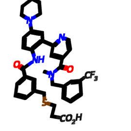 CN(Cc1cccc(C(F)(F)F)c1)C(=O)c1ccnc(-c2cc(N3CCCCC3)ccc2NC(=O)c2cccc(CSCCC(=O)O)c2)c1